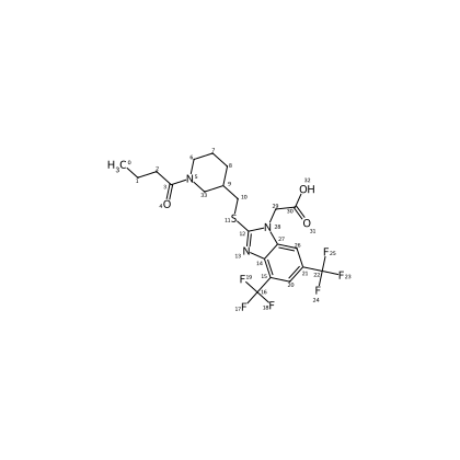 CCCC(=O)N1CCCC(CSc2nc3c(C(F)(F)F)cc(C(F)(F)F)cc3n2CC(=O)O)C1